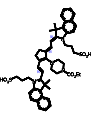 CCOC(=O)N1CCN(C2=C(/C=C/C3=[N+](CCCS(=O)(=O)O)c4ccc5ccccc5c4C3(C)C)CC/C2=C\C=C2/N(CCCS(=O)(=O)O)c3ccc4ccccc4c3C2(C)C)CC1